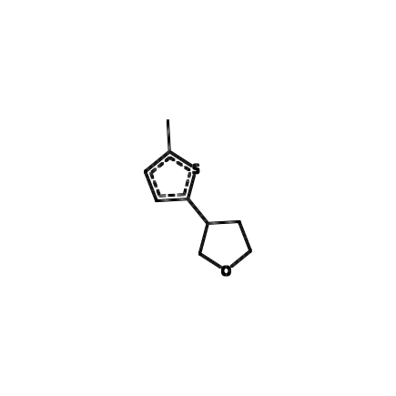 Cc1ccc(C2CCOC2)s1